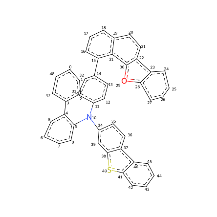 c1ccc(-c2ccccc2N(c2ccc(-c3cccc4ccc5c6ccccc6oc5c34)cc2)c2ccc3c(c2)sc2ccccc23)cc1